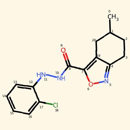 CC1CCc2noc(C(=O)NNc3ccccc3Cl)c2C1